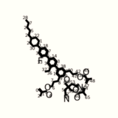 C=C(C)C(=O)OCCCc1cc(-c2ccc(-c3ccc(C4CCC(CCCCC)CC4)cc3F)cc2CC)cc(CCCOC(=O)C(=C)C)c1OCC(CC#N)(CC#N)COC(=O)C(=C)C